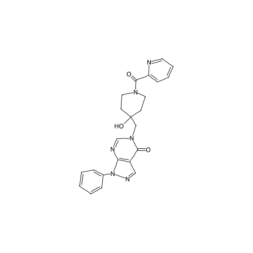 O=C(c1ccccn1)N1CCC(O)(Cn2cnc3c(cnn3-c3ccccc3)c2=O)CC1